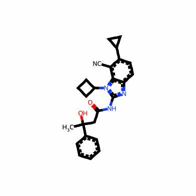 CC(O)(CC(=O)Nc1nc2ccc(C3CC3)c(C#N)c2n1C1CCC1)c1ccccc1